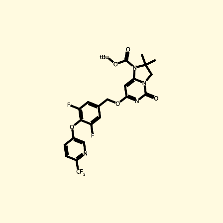 CC(C)(C)OC(=O)N1c2cc(OCc3cc(F)c(Oc4ccc(C(F)(F)F)nc4)c(F)c3)nc(=O)n2CC1(C)C